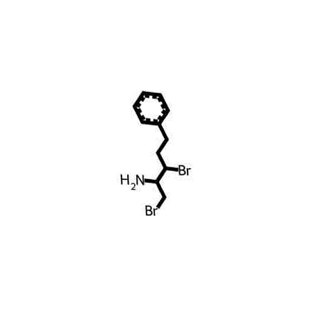 NC(CBr)C(Br)CCc1ccccc1